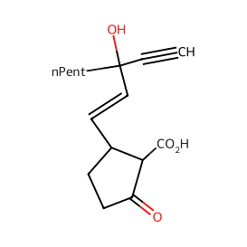 C#CC(O)(C=CC1CCC(=O)C1C(=O)O)CCCCC